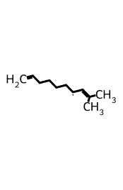 C=CCCCC[CH]C=C(C)C